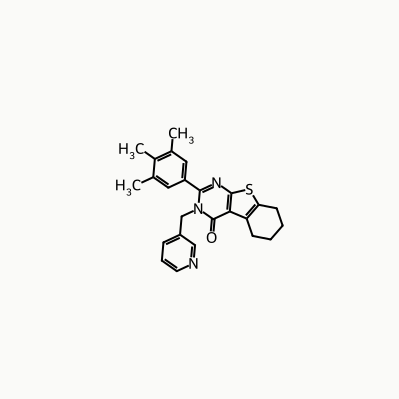 Cc1cc(-c2nc3sc4c(c3c(=O)n2Cc2cccnc2)CCCC4)cc(C)c1C